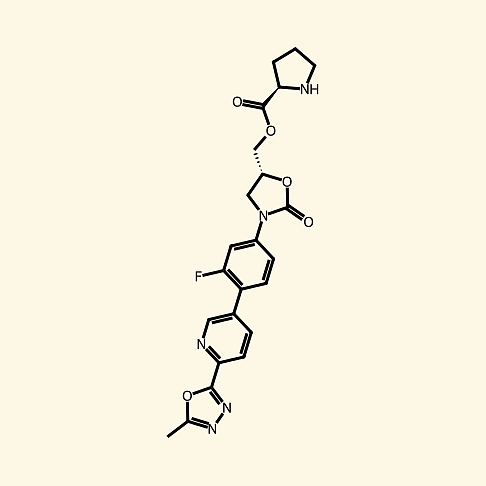 Cc1nnc(-c2ccc(-c3ccc(N4C[C@H](COC(=O)[C@H]5CCCN5)OC4=O)cc3F)cn2)o1